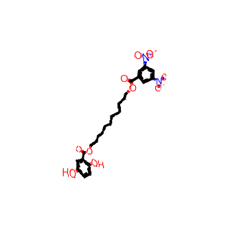 O=C(OCCCCCCCCCCCOC(=O)c1cc(O)ccc1O)c1cc([N+](=O)[O-])cc([N+](=O)[O-])c1